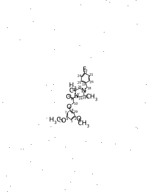 COc1cc(OC)cc(OCC(=O)N2CC(C)N(Cc3ccc(F)cc3)CC2C)c1